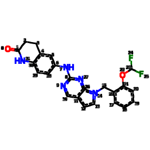 O=C1CCc2cc(Nc3ncc4ccn(Cc5ccccc5OC(F)F)c4n3)ccc2N1